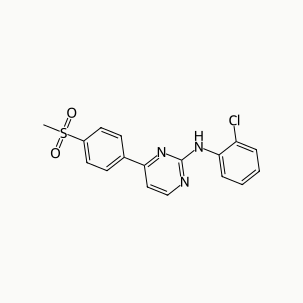 CS(=O)(=O)c1ccc(-c2ccnc(Nc3ccccc3Cl)n2)cc1